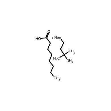 CCCCCCCC(=O)O.CCCCCCCCCCCC(C)(C)N